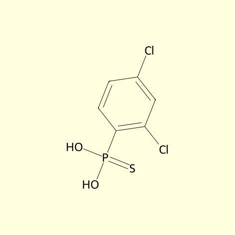 OP(O)(=S)c1ccc(Cl)cc1Cl